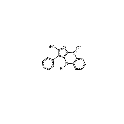 CCN1c2ccccc2[S+]([O-])c2oc(C(C)C)c(-c3ccccc3)c21